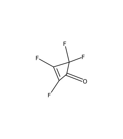 O=C1C(F)=C(F)C1(F)F